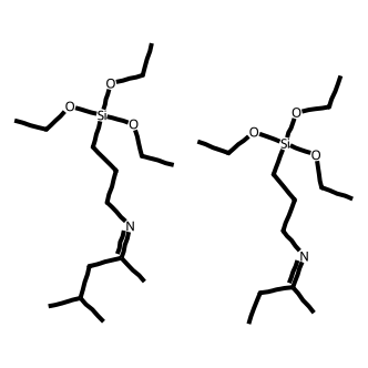 CCO[Si](CCCN=C(C)CC(C)C)(OCC)OCC.CCO[Si](CCCN=C(C)CC)(OCC)OCC